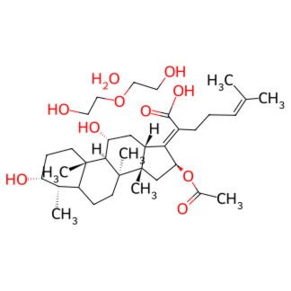 CC(=O)O[C@H]1C[C@@]2(C)[C@H](C[C@@H](O)[C@@H]3[C@@]4(C)CC[C@@H](O)[C@@H](C)C4CC[C@@]32C)C1=C(CCC=C(C)C)C(=O)O.O.OCCOCCO